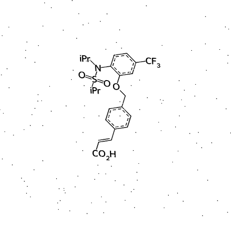 CC(C)N(c1ccc(C(F)(F)F)cc1OCc1ccc(C=CC(=O)O)cc1)S(=O)(=O)C(C)C